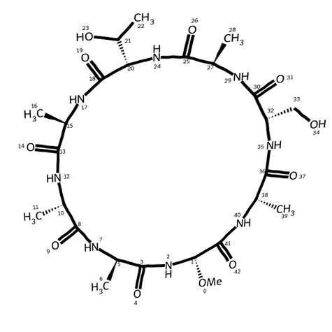 CO[C@@H]1NC(=O)[C@@H](C)NC(=O)[C@H](C)NC(=O)[C@@H](C)NC(=O)[C@H](C(C)O)NC(=O)[C@@H](C)NC(=O)[C@H](CO)NC(=O)[C@H](C)NC1=O